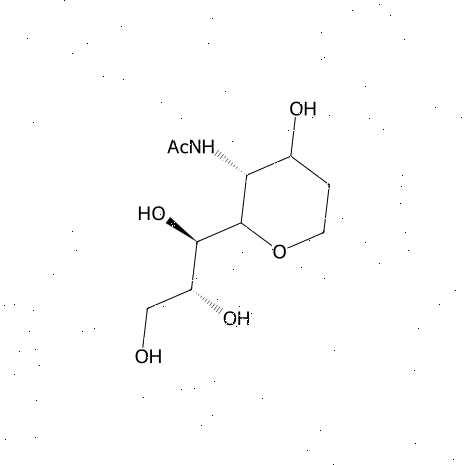 CC(=O)N[C@@H]1C(O)CCOC1[C@H](O)[C@H](O)CO